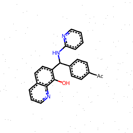 CC(=O)c1ccc(C(Nc2ccccn2)c2ccc3cccnc3c2O)cc1